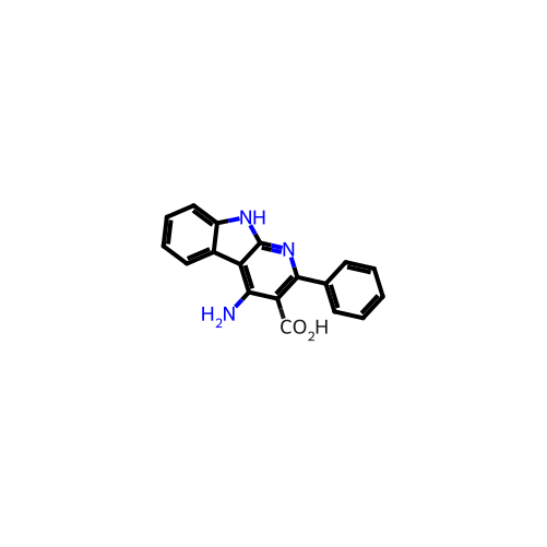 Nc1c(C(=O)O)c(-c2ccccc2)nc2[nH]c3ccccc3c12